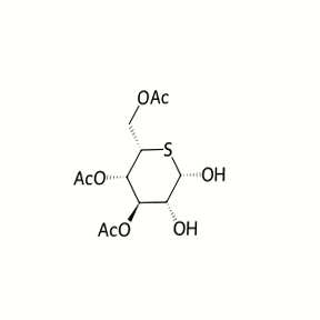 CC(=O)OC[C@@H]1S[C@H](O)[C@H](O)[C@@H](OC(C)=O)[C@@H]1OC(C)=O